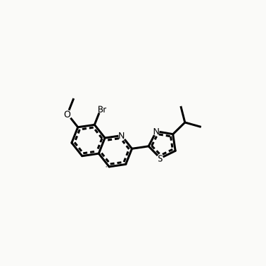 COc1ccc2[c]cc(-c3nc(C(C)C)cs3)nc2c1Br